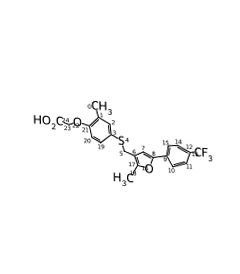 Cc1cc(SCc2cc(-c3ccc(C(F)(F)F)cc3)oc2C)ccc1OCC(=O)O